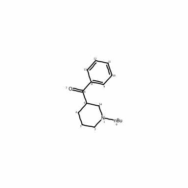 CC[CH]CN1CCCC(C(=O)c2ccccc2)C1